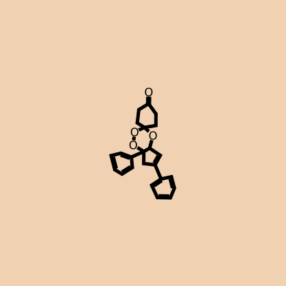 O=C1CCC2(CC1)OOC1(c3ccccc3)CC(c3ccccc3)=CC1O2